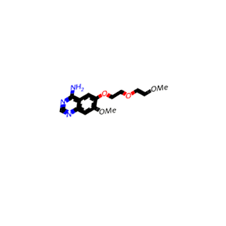 COCCOCCOc1cc2c(N)ncnc2cc1OC